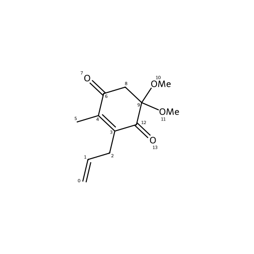 C=CCC1=C(C)C(=O)CC(OC)(OC)C1=O